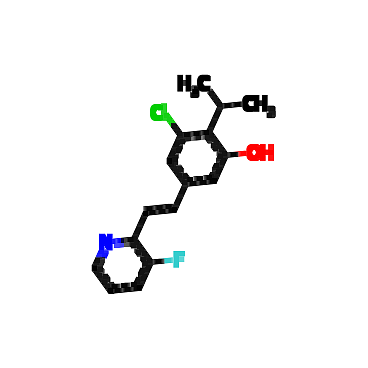 CC(C)c1c(O)cc(/C=C/c2ncccc2F)cc1Cl